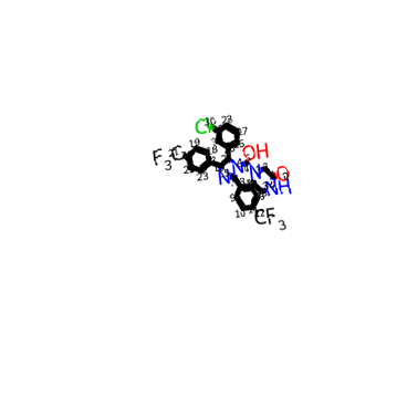 O=C1CN(C(O)N2C(c3ccc(C(F)(F)F)cc3)=NC(c3ccc(C(F)(F)F)cc3)C2c2cccc(Cl)c2)CCN1